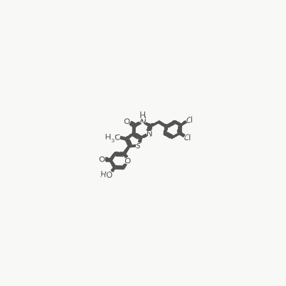 Cc1c(-c2cc(=O)c(O)co2)sc2nc(Cc3ccc(Cl)c(Cl)c3)[nH]c(=O)c12